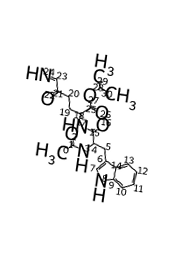 CC(=O)NC(Cc1c[nH]c2ccccc12)C(=O)NC(CCC(=O)C=N)C(=O)OC(C)C